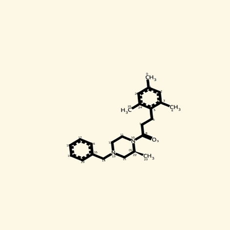 Cc1cc(C)c(CCC(=O)N2CCN(Cc3ccccc3)C[C@@H]2C)c(C)c1